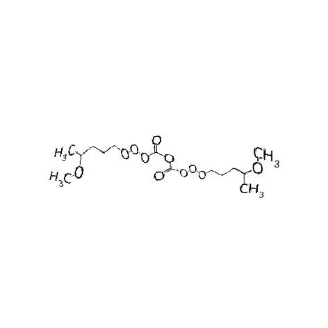 COC(C)CCCOOOC(=O)OC(=O)OOOCCCC(C)OC